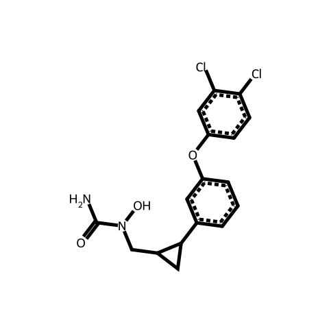 NC(=O)N(O)CC1CC1c1cccc(Oc2ccc(Cl)c(Cl)c2)c1